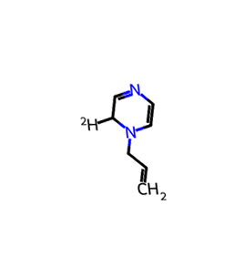 [2H]C1C=NC=CN1CC=C